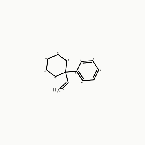 C=CC1(c2ccccc2)CCCCC1